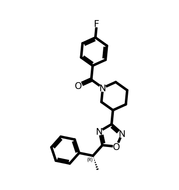 C[C@H](c1ccccc1)c1nc(C2CCCN(C(=O)c3ccc(F)cc3)C2)no1